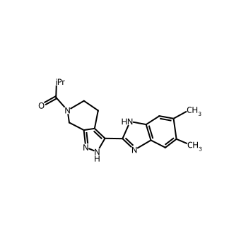 Cc1cc2nc(-c3[nH]nc4c3CCN(C(=O)C(C)C)C4)[nH]c2cc1C